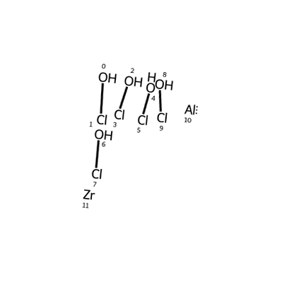 OCl.OCl.OCl.OCl.OCl.[Al].[Zr]